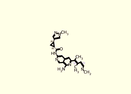 C=N/C=C\C(C)=C(/C)c1cc2cc(NC(=O)[C@@H]3C[C@H]3c3cnn(C)c3)ncc2c(N)n1